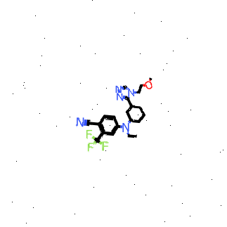 CCN(c1ccc(C#N)c(C(F)(F)F)c1)C1CCCC(c2nncn2CCOC)C1